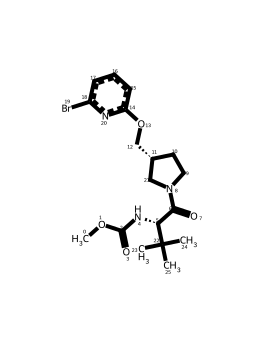 COC(=O)N[C@H](C(=O)N1CC[C@@H](COc2cccc(Br)n2)C1)C(C)(C)C